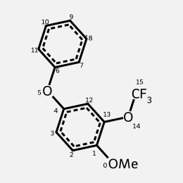 COc1ccc(Oc2c[c]ccc2)cc1OC(F)(F)F